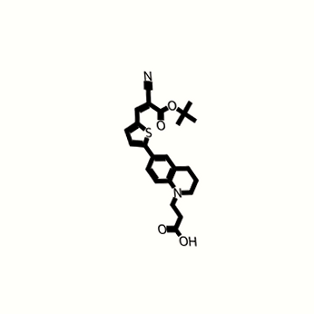 CC(C)(C)OC(=O)C(C#N)=Cc1ccc(-c2ccc3c(c2)CCCN3CCC(=O)O)s1